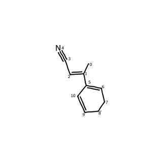 CC(=CC#N)C1=CC[CH]C=C1